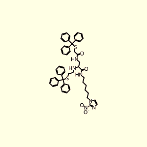 O=C(CSC(c1ccccc1)(c1ccccc1)c1ccccc1)NCC(NCCSC(c1ccccc1)(c1ccccc1)c1ccccc1)C(=O)NCCCCCCn1ccnc1[N+](=O)[O-]